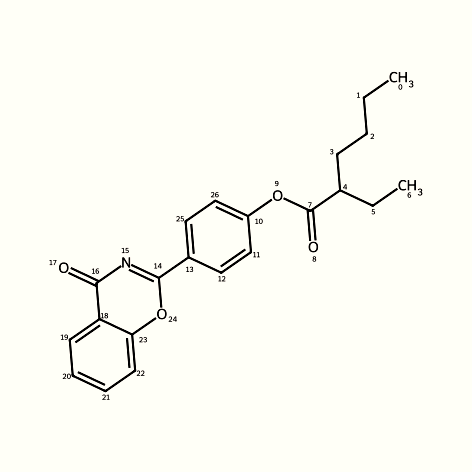 CCCCC(CC)C(=O)Oc1ccc(-c2nc(=O)c3ccccc3o2)cc1